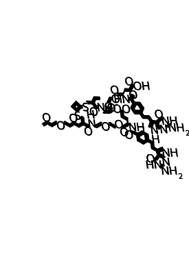 CCC(CSC1CCC1SCC(CC(=O)CCOCCC(C)=O)C(=O)NCCOCCOC(=O)[C@@H](CCC(=O)O)NC(=O)c1ccc(CCc2c[nH]c3nc(N)[nH]c(=O)c23)cc1)C(=O)NCCOCCOC(=O)[C@@H](CCC(=O)O)NC(=O)c1ccc(CCc2c[nH]c3nc(N)[nH]c(=O)c23)cc1